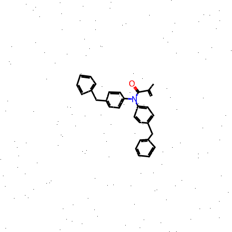 C=C(C)C(=O)N(c1ccc(Cc2ccccc2)cc1)c1ccc(Cc2ccccc2)cc1